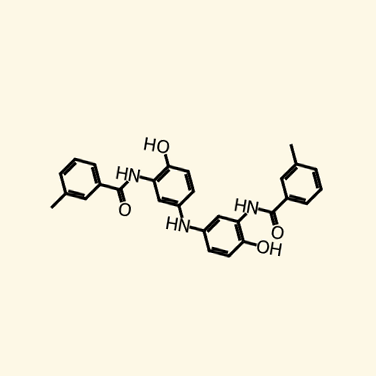 Cc1cccc(C(=O)Nc2cc(Nc3ccc(O)c(NC(=O)c4cccc(C)c4)c3)ccc2O)c1